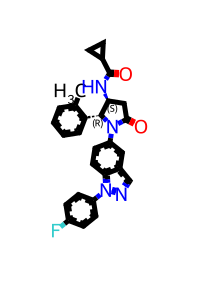 Cc1ccccc1[C@@H]1[C@@H](NC(=O)C2CC2)CC(=O)N1c1ccc2c(cnn2-c2ccc(F)cc2)c1